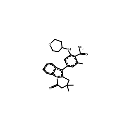 CC1(C)CC(=O)n2c(c(-c3cc(F)c(C(N)=O)c(NC4CCOCC4)c3)c3ccccc32)C1